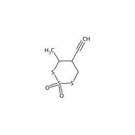 C#CC1CSS(=O)(=O)SC1C